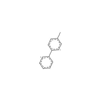 Cc1c[c]c(-c2[c]cccc2)cc1